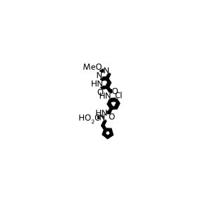 COc1ncc2cc(C(=O)Nc3cc(C(=O)NN(CCC4CCCC4)C(=O)O)ccc3Cl)c(=O)[nH]c2n1